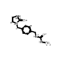 CNC(=O)NCc1ccc(CN2CCNC2=O)cc1